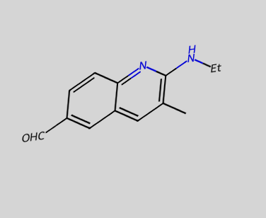 CCNc1nc2ccc(C=O)cc2cc1C